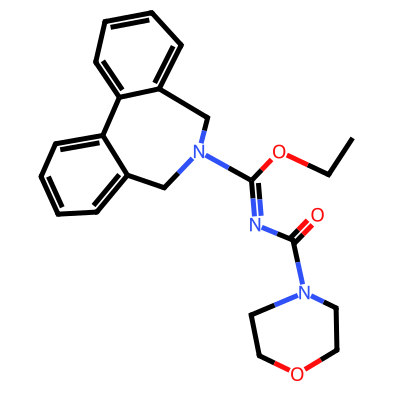 CCOC(=NC(=O)N1CCOCC1)N1Cc2ccccc2-c2ccccc2C1